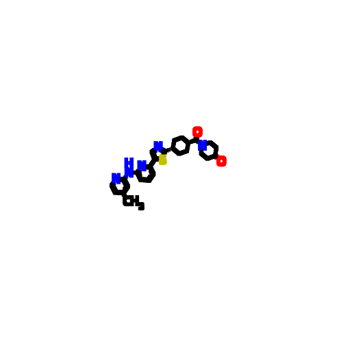 Cc1ccnc(Nc2cccc(-c3cnc([C@H]4CC[C@H](C(=O)N5CCC(=O)CC5)CC4)s3)n2)c1